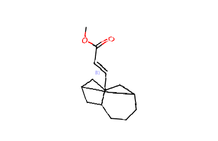 COC(=O)/C=C/C12CC3CCCC1CC3C2